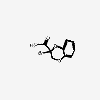 CC(=O)C1(Br)COc2ccccc2O1